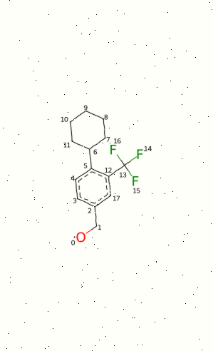 [O]Cc1ccc(C2CCCCC2)c(C(F)(F)F)c1